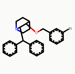 CCc1cccc(COC2C3CCN(CC3)C2C(c2ccccc2)c2ccccc2)c1